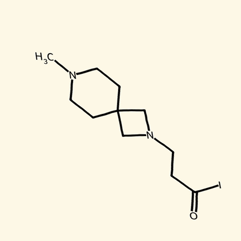 CN1CCC2(CC1)CN(CCC(=O)I)C2